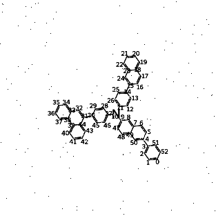 c1ccc(-c2ccc3cc(N(c4ccc(-c5ccc6ccccc6c5)cc4)c4ccc(-c5cc6ccccc6c6ccccc56)cc4)ccc3c2)cc1